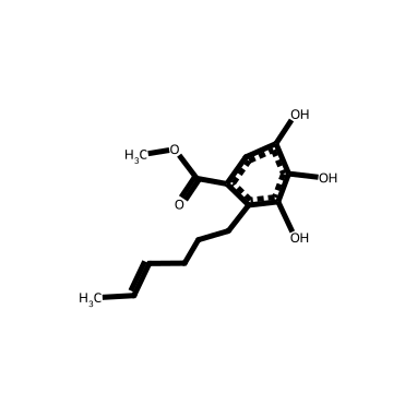 CC=CCCCc1c(C(=O)OC)cc(O)c(O)c1O